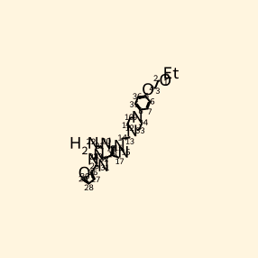 CCOCCOc1ccc(N2CCN(CCn3ncc4c3nc(N)n3nc(-c5ccco5)nc43)CC2)cc1